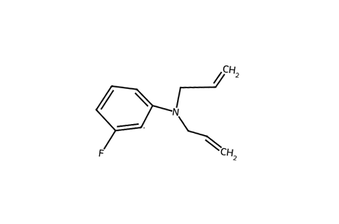 C=CCN(CC=C)c1[c]c(F)ccc1